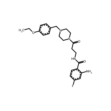 CCOc1ccc(CN2CCN(C(=O)CCNC(=O)c3ccc(F)cc3N)CC2)cc1